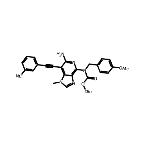 COc1ccc(CN(C(=O)OC(C)(C)C)c2nc(N)c(C#Cc3cccc(C#N)c3)c3c2ncn3C)cc1